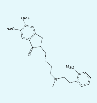 COc1ccccc1CCN(C)CCCCC1Cc2cc(OC)c(OC)cc2C1=O